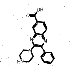 O=C(O)c1ccc2nc(-c3ccccc3)c(N3CCNCC3)nc2c1